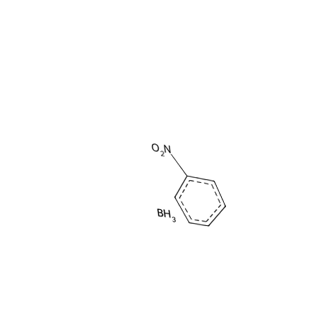 B.O=[N+]([O-])c1ccccc1